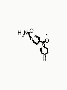 NC(=O)C[n+]1ccc(C(=O)N2C=CNCC2)cc1.[I-]